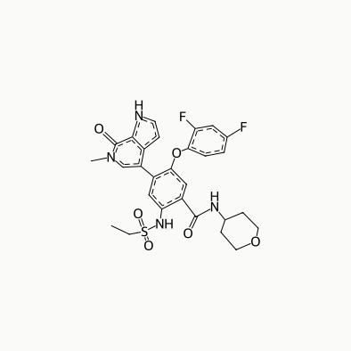 CCS(=O)(=O)Nc1cc(-c2cn(C)c(=O)c3[nH]ccc23)c(Oc2ccc(F)cc2F)cc1C(=O)NC1CCOCC1